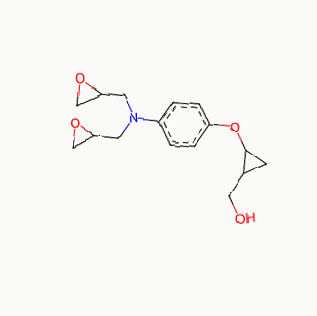 OCC1CC1Oc1ccc(N(CC2CO2)CC2CO2)cc1